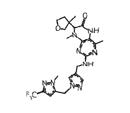 Cc1nc(NCc2cnn(Cc3cc(C(F)(F)F)nn3C)c2)nc2c1NC(=O)C(C1(C)CCOC1)N2C